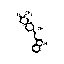 CN1CC2(CCN(CCc3c[nH]c4ccccc34)CC2)OCC1=O.Cl